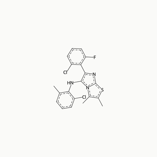 Cc1cccc(Cl)c1Nc1c(-c2c(F)cccc2Cl)nc2sc(C)c(C)n12